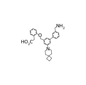 NCc1cccc(-c2cc(COc3ccccc3CC(=O)O)cc(N3CCC4(CCC4)CC3)c2)c1